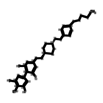 CCCCCc1ccc(CC[C@H]2CC[C@H](CCc3cc(F)c(-c4cc(F)c(Cl)c(F)c4)c(F)c3)CC2)cc1